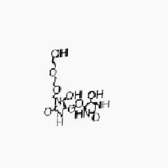 O=C1NC(O)C(OOC2NC(=O)N(COCCOCCO)C2O)N1